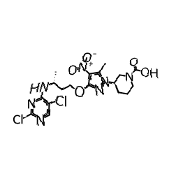 Cc1c([N+](=O)[O-])c(OCC[C@@H](C)Nc2nc(Cl)ncc2Cl)nn1C1CCCN(C(=O)O)C1